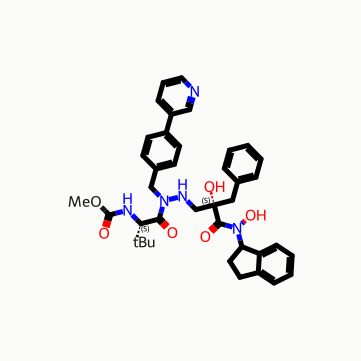 COC(=O)N[C@H](C(=O)N(Cc1ccc(-c2cccnc2)cc1)NC[C@@](O)(Cc1ccccc1)C(=O)N(O)C1CCc2ccccc21)C(C)(C)C